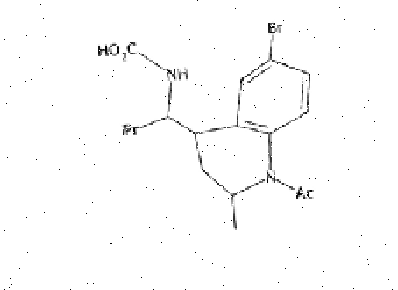 CC(=O)N1c2ccc(Br)cc2C(C(NC(=O)O)C(C)C)CC1C